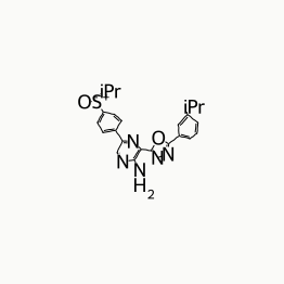 CC(C)c1cccc(-c2nnc(-c3nc(-c4ccc([S+]([O-])C(C)C)cc4)cnc3N)o2)c1